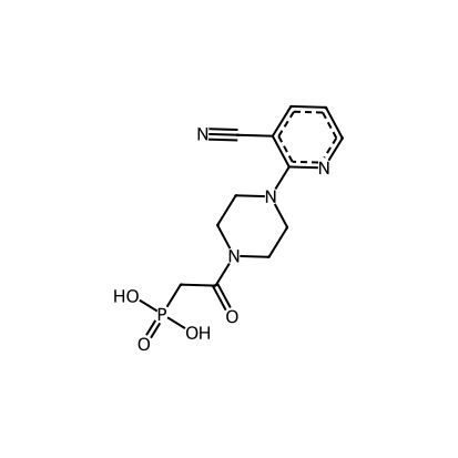 N#Cc1cccnc1N1CCN(C(=O)CP(=O)(O)O)CC1